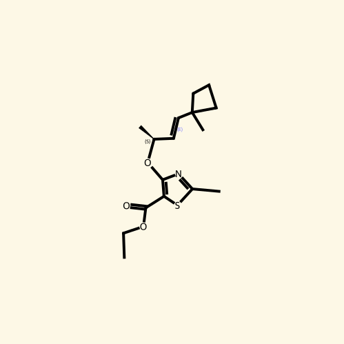 CCOC(=O)c1sc(C)nc1O[C@@H](C)/C=C/C1(C)CCC1